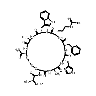 CCCC[C@H](NC(C)=O)C(=O)N[C@H]1CSSC[C@@H](C(N)=O)NC(=O)[C@@H](C)NC(=O)[C@H](Cc2c[nH]c3ccccc23)NC(=O)[C@H](CCCNC(=N)N)NC(=O)[C@@H](Cc2ccccc2)NC(=O)[C@H](Cc2c[nH]cn2)NC(=O)[C@@H](C)NC1=O